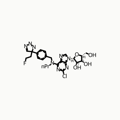 CCCN(Cc1ccc(C2(CCF)C=NN=N2)cc1)c1nc(Cl)nc2c1ncn2[C@@H]1O[C@H](CO)[C@@H](O)[C@H]1O